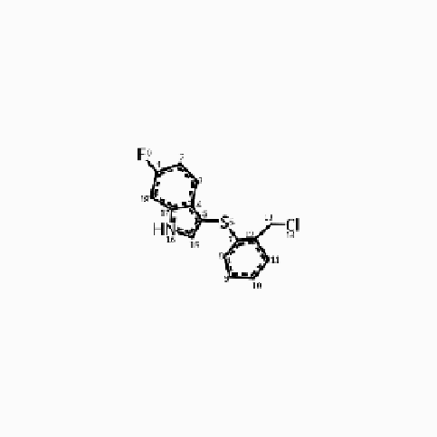 Fc1ccc2c(Sc3ccccc3CCl)c[nH]c2c1